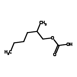 CCCCC(C)COC(=O)O